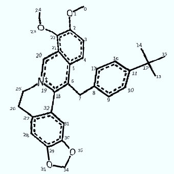 COc1ccc2c(Cc3ccc(C(C)(C)C)cc3)c3[n+](cc2c1OC)CCc1cc2c(cc1-3)OCO2